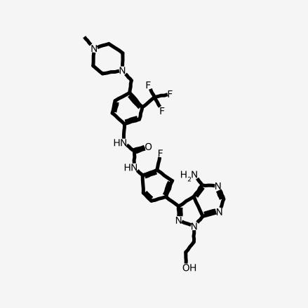 CN1CCN(Cc2ccc(NC(=O)Nc3ccc(-c4nn(CCO)c5ncnc(N)c45)cc3F)cc2C(F)(F)F)CC1